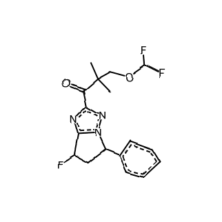 CC(C)(COC(F)F)C(=O)c1nc2n(n1)C(c1ccccc1)CC2F